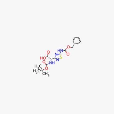 CC(C)(C)OC(=O)NC(C(=O)O)c1nsc(NC(=O)OCc2ccccc2)n1